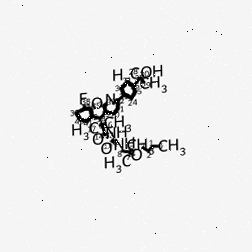 CCCCOC(C)(C)CNC(=O)NC(=O)C(C)(C)[C@@H]1c2ccc(-c3ccc(C(C)(C)O)cc3)nc2Oc2c(F)cccc21